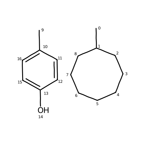 CC1CCCCCCC1.Cc1ccc(O)cc1